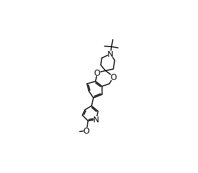 COc1ccc(-c2ccc3c(c2)COC2(CCN(C(C)(C)C)CC2)O3)cn1